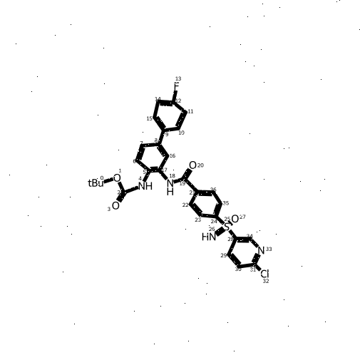 CC(C)(C)OC(=O)Nc1ccc(-c2ccc(F)cc2)cc1NC(=O)c1ccc(S(=N)(=O)c2ccc(Cl)nc2)cc1